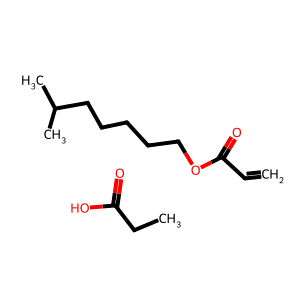 C=CC(=O)OCCCCCC(C)C.CCC(=O)O